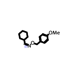 COc1ccc(CO/N=[C]\C2CCCCC2)cc1